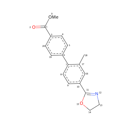 COC(=O)c1ccc(-c2ccc(C3=NCCO3)cc2C)cc1